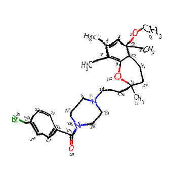 COC1(C)C=C(C)C(C)=C2OC(C)(CCN3CCN(C(=O)c4ccc(Br)cc4)CC3)CCC21